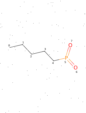 CCCCCP(=O)=O